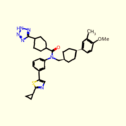 COc1ccc([C@H]2CC[C@H](CN(C(=O)C3CCC(c4nn[nH]n4)CC3)c3cccc(-c4cnc(C5CC5)s4)c3)CC2)cc1C